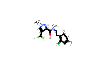 CON(CCc1c(Cl)cc(Cl)cc1Cl)C(=O)c1nn(C)cc1C(F)F